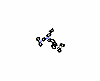 c1ccc(-c2ccc(N(c3ccc(-n4c5ccccc5c5ccccc54)cc3)c3ccc4c(ccc5cc(N6C7=C(Sc8ccccc86)c6ccccc6[C@H]7c6ccccc6)ccc54)c3)cc2)cc1